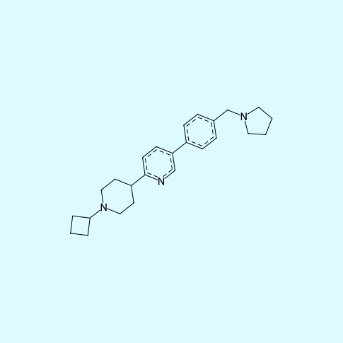 c1cc(-c2ccc(C3CCN(C4CCC4)CC3)nc2)ccc1CN1CCCC1